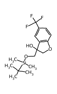 CC(C)(C)[Si](C)(C)OCC1(O)COc2ccc(C(F)(F)F)cc21